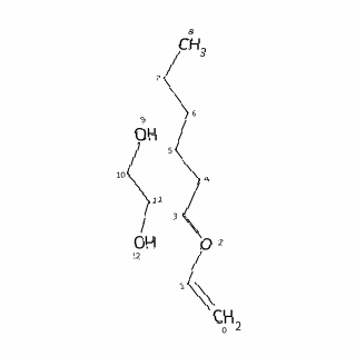 C=COCCCCCC.OCCO